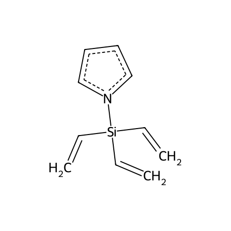 C=C[Si](C=C)(C=C)n1cccc1